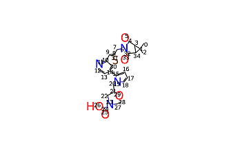 CC1(C)C2C(=O)N(Cc3cc4nccc(-c5cccn5CC5CN(C(=O)O)CCO5)c4s3)C(=O)C21